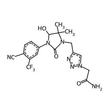 CC1(C)C(O)N(c2ccc(C#N)c(C(F)(F)F)c2)C(=O)N1Cc1cn(CC(N)=O)nn1